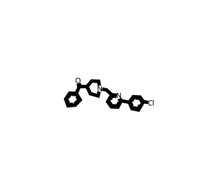 O=C(c1ccccc1)C1CCN(Cc2cccc(-c3ccc(Cl)cc3)n2)CC1